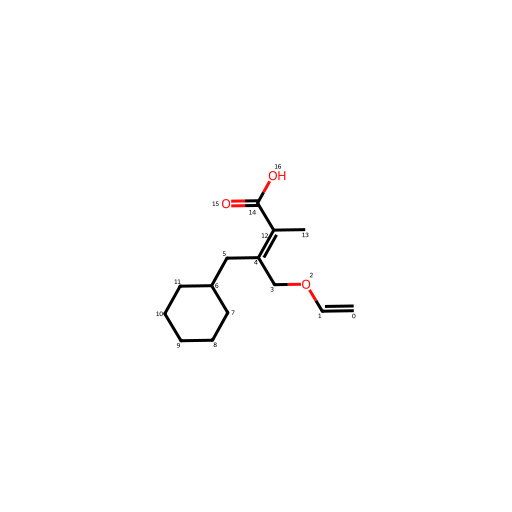 C=COCC(CC1CCCCC1)=C(C)C(=O)O